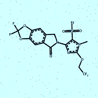 CCS(=O)(=O)c1c(N2Cc3cc4c(cc3C2=O)OC(F)(F)O4)nc(OCC(F)(F)F)n1C